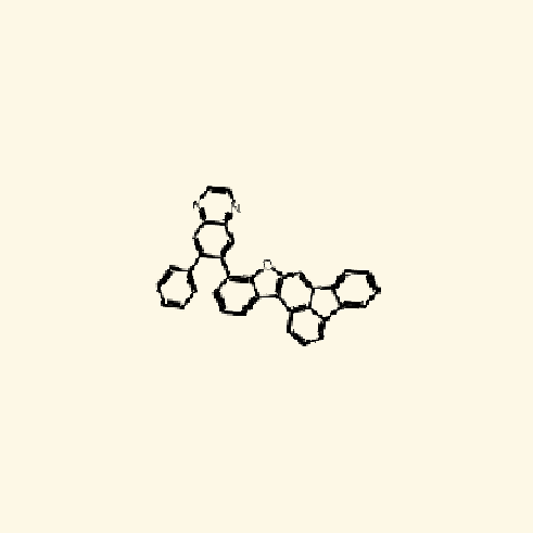 c1ccc(-c2cc3nccnc3cc2-c2cccc3c2oc2cc4c5c(cccc5c23)-c2ccccc2-4)cc1